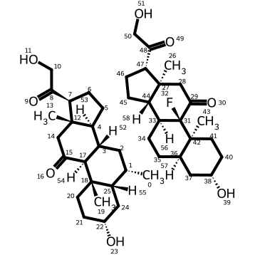 C[C@H]1C[C@H]2[C@@H]3CC[C@H](C(=O)CO)[C@@]3(C)CC(=O)[C@@H]2[C@@]2(C)CC[C@@H](O)C[C@@H]12.C[C@]12CC(=O)[C@@]3(F)[C@@H](CC[C@@H]4C[C@@H](O)CC[C@@]43C)[C@@H]1CC[C@@H]2C(=O)CO